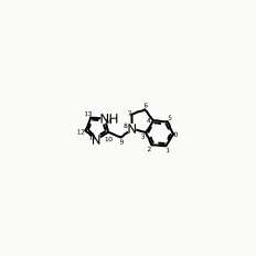 c1ccc2c(c1)CCN2Cc1ncc[nH]1